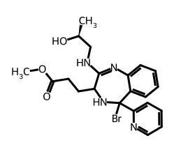 COC(=O)CCC1NC(Br)(c2ccccn2)c2ccccc2N=C1NC[C@H](C)O